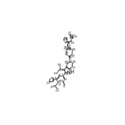 C=C/C=C(\C=C(\OC)[C@H](C)CC)c1[nH]c2ccc(C3CCN(C(=O)CN(C)C)CC3)cc2c1C(C)C